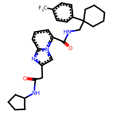 O=C(Cc1cn2c(C(=O)NCC3(c4ccc(C(F)(F)F)cc4)CCCCC3)cccc2n1)NC1CCCC1